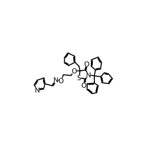 O=C1SC(Cc2ccccc2)(OCCON=Cc2cccnc2)C(=O)N1C(c1ccccc1)(c1ccccc1)c1ccccc1